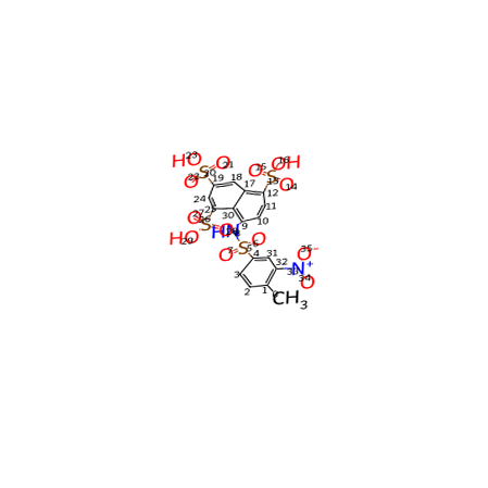 Cc1ccc(S(=O)(=O)Nc2ccc(S(=O)(=O)O)c3cc(S(=O)(=O)O)cc(S(=O)(=O)O)c23)cc1[N+](=O)[O-]